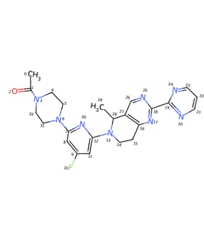 CC(=O)N1CCN(c2cc(F)cc(N3CCc4nc(-c5ncccn5)ncc4C3C)n2)CC1